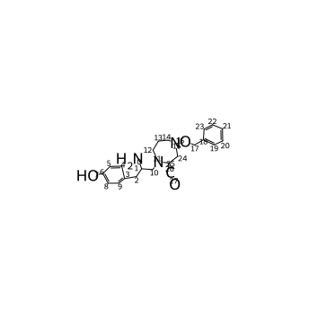 NC(Cc1ccc(O)cc1)CN1CCCN(OCc2ccccc2)CC1=C=O